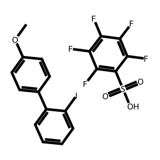 COc1ccc(-c2ccccc2I)cc1.O=S(=O)(O)c1c(F)c(F)c(F)c(F)c1F